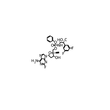 C#C[C@]1(COP(=O)(N[C@@H](Cc2cc(F)cc(F)c2)C(=O)O)Oc2ccccc2)O[C@@H](n2cnc3c(N)nc(F)nc32)C[C@@H]1O